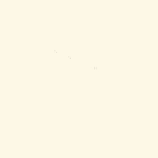 c1ccc([SiH2]C(Cn2ccnc2)c2ccc(-c3ccccc3)cc2)cc1